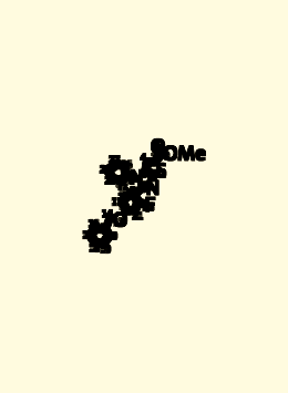 COC(=O)c1cc2c(nc(-c3ccc(OCc4ccccc4)cc3F)n2-c2ccccc2)s1